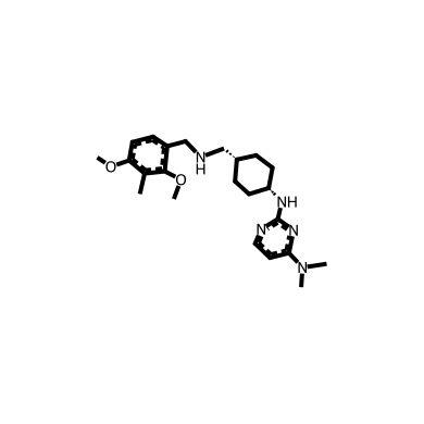 COc1ccc(CNC[C@H]2CC[C@@H](Nc3nccc(N(C)C)n3)CC2)c(OC)c1C